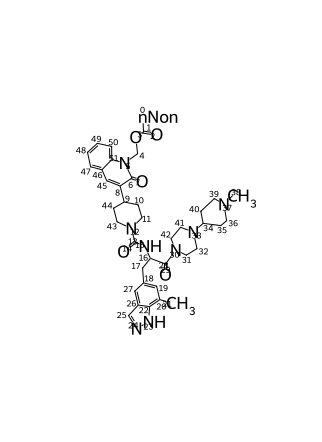 CCCCCCCCCC(=O)OCn1c(=O)c(C2CCN(C(=O)NC(Cc3cc(C)c4[nH]ncc4c3)C(=O)N3CCN(C4CCN(C)CC4)CC3)CC2)cc2ccccc21